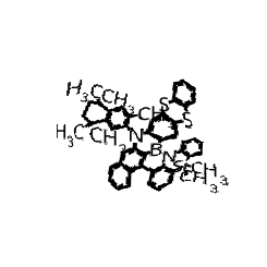 Cc1cc2c(cc1N1c3cc4c(cc3B3c5c1cc1ccccc1c5-c1cccc5c1N3c1ccccc1[Si]5(C)C)Sc1ccccc1S4)C(C)(C)CCC2(C)C